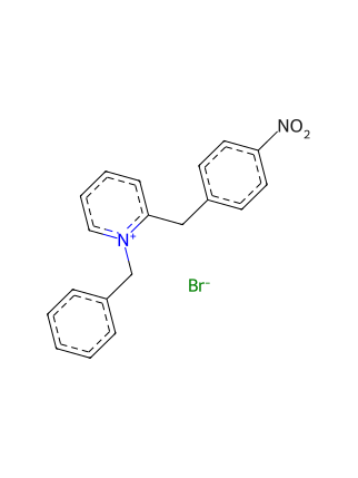 O=[N+]([O-])c1ccc(Cc2cccc[n+]2Cc2ccccc2)cc1.[Br-]